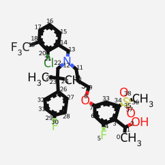 CC(O)c1c(F)cc(OCCCN(Cc2cccc(C(F)(F)F)c2Cl)CC(C)(C)c2ccc(F)cc2)cc1S(C)(=O)=O